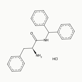 Cl.N[C@@H](Cc1ccccc1)C(=O)NC(c1ccccc1)c1ccccc1